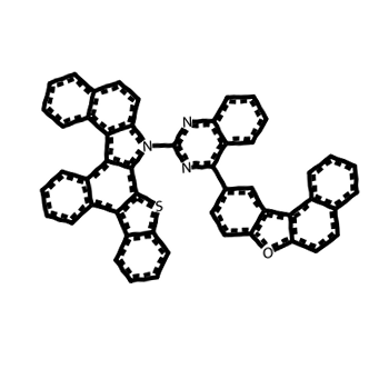 c1ccc2c(c1)ccc1oc3ccc(-c4nc(-n5c6ccc7ccccc7c6c6c7ccccc7c7c8ccccc8sc7c65)nc5ccccc45)cc3c12